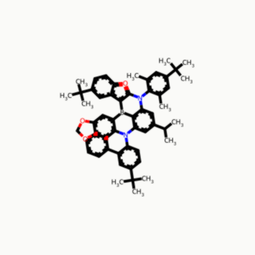 Cc1cc(C(C)(C)C)cc(C)c1N1c2cc(C(C)C)cc3c2B(c2cc4c(cc2N3c2ccc(C(C)(C)C)cc2-c2ccccc2)OCO4)c2c1oc1ccc(C(C)(C)C)cc21